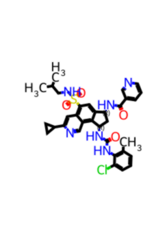 Cc1cccc(Cl)c1NC(=O)N[C@@H]1C[C@@H](NC(=O)c2cccnc2)c2cc(S(=O)(=O)NCC(C)C)c3cc(C4CC4)ncc3c21